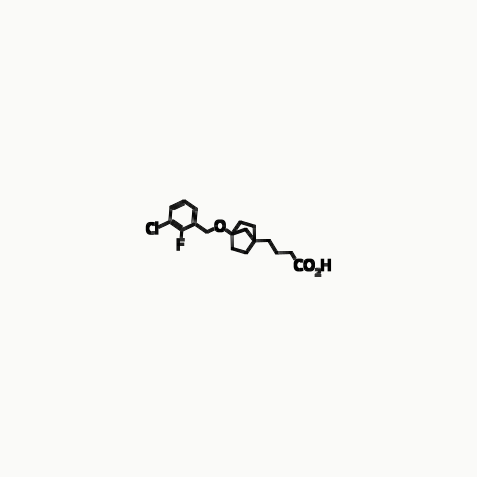 O=C(O)CCCC12CCC(OCc3cccc(Cl)c3F)(CC1)C2